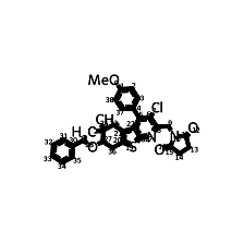 COc1ccc(-c2c(Cl)c(CN3C(=O)CCC3=O)nc3sc4c(c23)CC(C)(C)C(OCc2ccccc2)C4)cc1